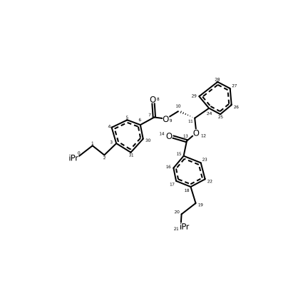 CC(C)CCc1ccc(C(=O)OC[C@@H](OC(=O)c2ccc(CCC(C)C)cc2)c2ccccc2)cc1